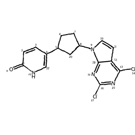 O=c1ccc(C2CCC(n3ccc4c(Cl)nc(Cl)nc43)C2)c[nH]1